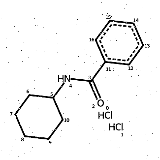 Cl.Cl.O=C(NC1CCCCC1)c1ccccc1